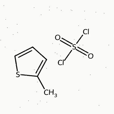 Cc1cccs1.O=S(=O)(Cl)Cl